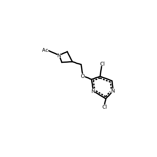 CC(=O)N1CC(COc2nc(Cl)ncc2Cl)C1